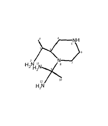 CC(N)C1CNCCN1C(C)(N)N